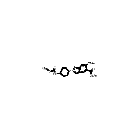 COC(=O)c1cc2cn([C@H]3CC[C@H](NC(=O)OC(C)(C)C)CC3)nc2cc1OC